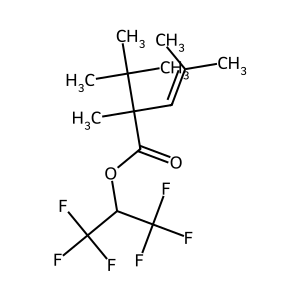 CC(C)=CC(C)(C(=O)OC(C(F)(F)F)C(F)(F)F)C(C)(C)C